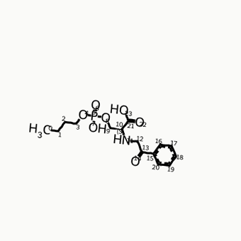 CCCCOP(=O)(O)OC[C@H](NCC(=O)c1ccccc1)C(=O)O